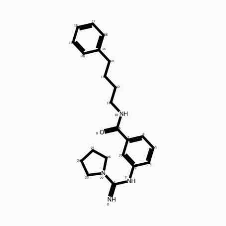 N=C(Nc1cccc(C(=O)NCCCCc2ccccc2)c1)N1CCCC1